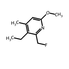 CCc1c(C)cc(OC)nc1CF